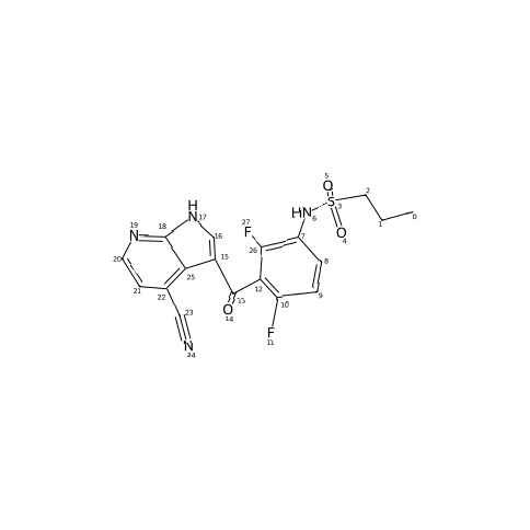 CCCS(=O)(=O)Nc1ccc(F)c(C(=O)c2c[nH]c3nccc(C#N)c23)c1F